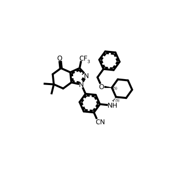 CC1(C)CC(=O)c2c(C(F)(F)F)nn(-c3ccc(C#N)c(N[C@H]4CCCC[C@@H]4OCc4ccccc4)c3)c2C1